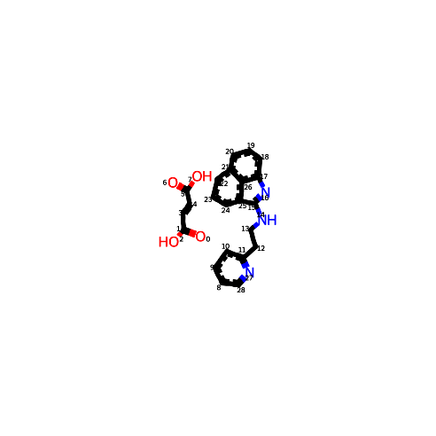 O=C(O)/C=C/C(=O)O.c1ccc(CCNC2=Nc3cccc4cccc2c34)nc1